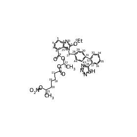 CCOc1nc2cccc(C(=O)OC(C)OC(=O)CCCCC(C)O[N+](=O)[O-])c2n1Cc1ccc(-c2ccccc2-c2nnn[nH]2)cc1